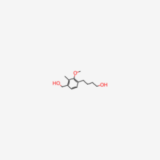 COc1c(CCCCO)ccc(CO)c1C